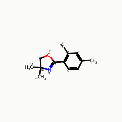 CC(C)c1cc(C(F)(F)F)ccc1C1=NC(C)(C)CO1